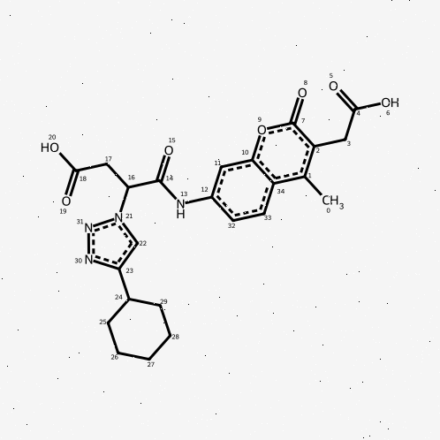 Cc1c(CC(=O)O)c(=O)oc2cc(NC(=O)C(CC(=O)O)n3cc(C4CCCCC4)nn3)ccc12